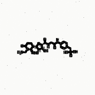 CCn1c(=O)ccn([C@@H]2O[C@H](C(=O)NCC(=O)Nc3ccc(CP(=O)(O)O)cc3)[C@@H](O)[C@@H]2O)c1=O